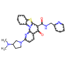 CN(C)C1CCN(c2ccc3c(=O)c(C(=O)NCc4ccccn4)c4sc5ccccc5n4c3n2)C1